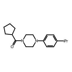 CC(C)c1ccc(N2CCN(C(=O)C3CCCC3)CC2)cc1